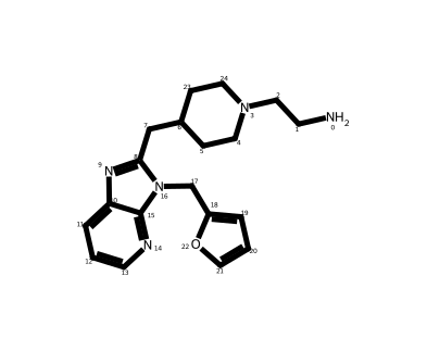 NCCN1CCC(Cc2nc3cccnc3n2Cc2ccco2)CC1